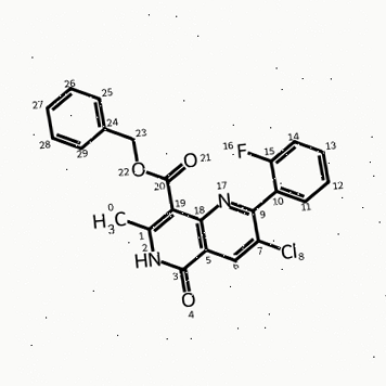 Cc1[nH]c(=O)c2cc(Cl)c(-c3ccccc3F)nc2c1C(=O)OCc1ccccc1